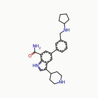 NC(=O)c1cc(-c2cccc(CNC3CCCC3)c2)cc2c(C3CCNCC3)c[nH]c12